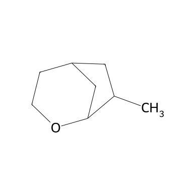 CC1CC2CCOC1C2